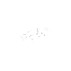 CC(C)(C)Cc1c(F)cc(CC(C)(C)Cc2cccc3ccccc23)cc1Cl